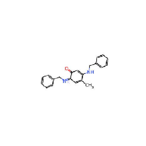 CC1=C/C(=N/Cc2ccccc2)C(=O)C=C1NCc1ccccc1